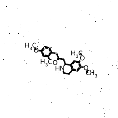 COc1ccc(CC(=O)CC2NCCc3cc(OC)c(OC)cc32)c(C)c1